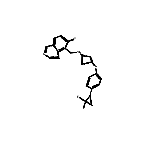 Fc1ccc2cnccc2c1CNC1CC(Oc2ccc([C@H]3CC3(F)F)cc2)C1